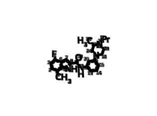 Cc1ccc(F)c2cc(C(=O)Nc3cccc(N4CCN(C(C)C)C(C)C4)c3)[nH]c12